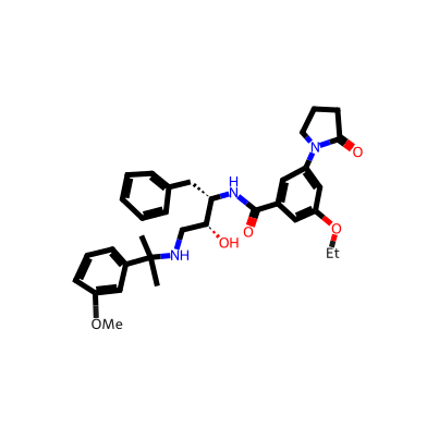 CCOc1cc(C(=O)N[C@@H](Cc2ccccc2)[C@H](O)CNC(C)(C)c2cccc(OC)c2)cc(N2CCCC2=O)c1